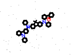 CC1(C)c2cc(N(c3ccccc3)c3ccc4c(c3)c3ccccc3n4-c3ccccc3)ccc2-c2ccc(N(c3ccccc3)c3cccc4c3oc3ccccc34)cc21